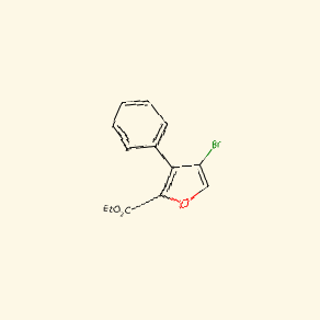 CCOC(=O)c1occ(Br)c1-c1ccccc1